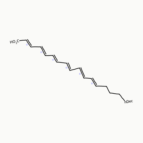 CCCCCCCCCCCCC/C=C/C=C/C=C/C=C/C=C/C=C/C(=O)O